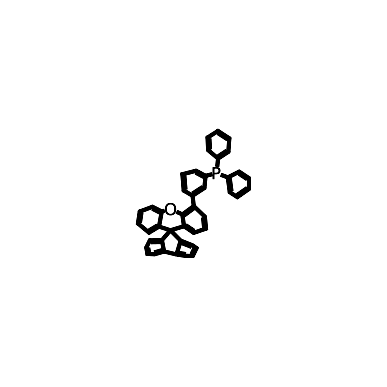 c1ccc(P(c2ccccc2)c2cccc(-c3cccc4c3Oc3ccccc3C43c4ccccc4-c4ccccc43)c2)cc1